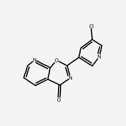 O=c1nc(-c2cncc(Cl)c2)oc2ncccc12